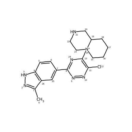 Cc1n[nH]c2ccc(-c3nnc(Cl)c([N+]45CCCCC4CNCC5)n3)cc12